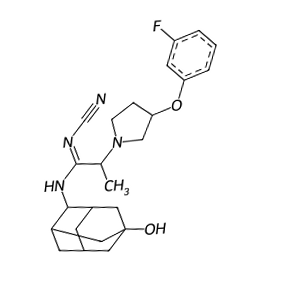 CC(/C(=N\C#N)NC1C2CC3CC1CC(O)(C3)C2)N1CCC(Oc2cccc(F)c2)C1